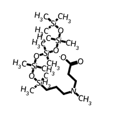 CN(CCC[Si](C)(C)O[Si](C)(C)O[Si](C)(C)O[Si](C)(C)O[Si](C)(C)C)CCC([O])=O